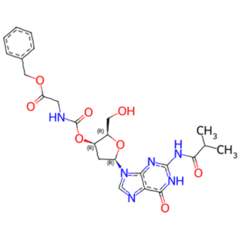 CC(C)C(=O)Nc1nc2c(ncn2[C@H]2C[C@@H](OC(=O)NCC(=O)OCc3ccccc3)[C@@H](CO)O2)c(=O)[nH]1